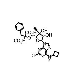 C#C[C@@]1(O)[C@@H](COC(Cc2ccccc2)(C(=O)O)C(=O)O)O[C@@H](n2cnc3c(N(C)C4CCC4)nc(Cl)nc32)[C@@H]1O